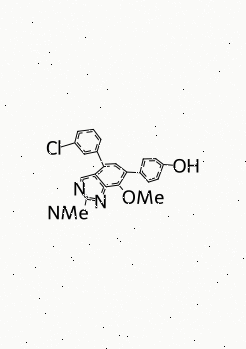 CNc1ncc2c(-c3cccc(Cl)c3)cc(-c3ccc(O)cc3)c(OC)c2n1